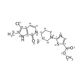 COC(=O)c1cnc(N2CC[C@@H](n3ccc4c(Cl)c(C)[nH]c4c3=O)[C@@H](F)C2)s1